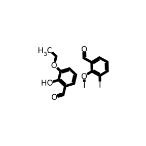 CCOc1cccc(C=O)c1O.O=Cc1cccc(I)c1OI